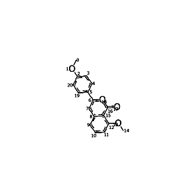 COc1ccc(-c2cc3cccc(OC)c3c(=O)o2)cc1